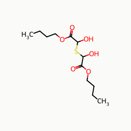 CCCCOC(=O)C(O)SC(O)C(=O)OCCCC